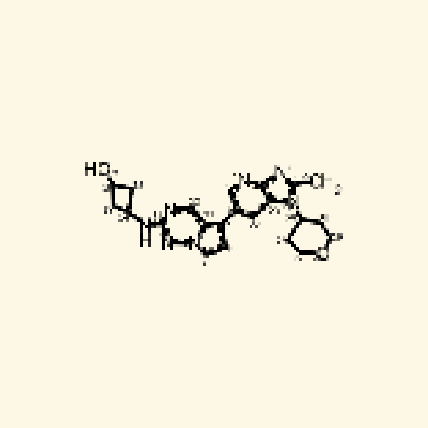 Cc1nc2ncc(-c3ccn4nc(NC5CC(O)C5)ncc34)cc2n1C1CCOCC1